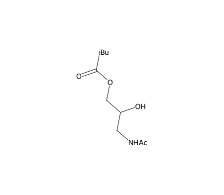 CCC(C)C(=O)OCC(O)CNC(C)=O